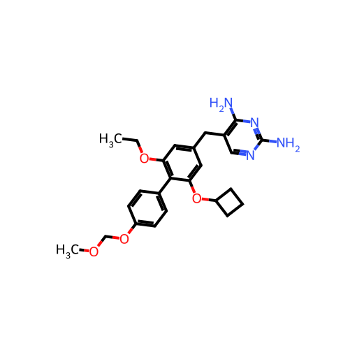 CCOc1cc(Cc2cnc(N)nc2N)cc(OC2CCC2)c1-c1ccc(OCOC)cc1